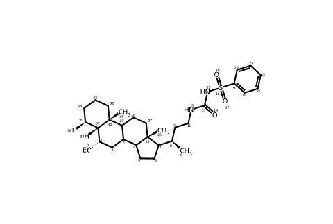 CC[C@H]1CC2C3CCC([C@H](C)CCNC(=O)NS(=O)(=O)c4ccccc4)[C@@]3(C)CCC2[C@@]2(C)CCC[C@H](F)[C@@H]12